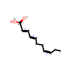 CC/C=C\CC/C=C/C=C/C(=O)O